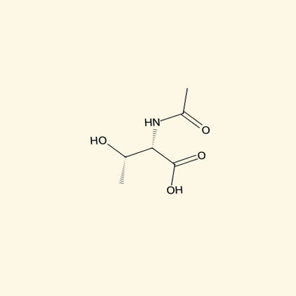 CC(=O)N[C@H](C(=O)O)[C@H](C)O